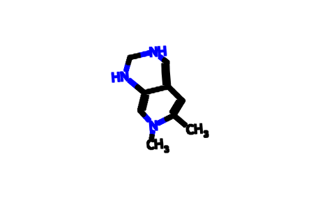 CC1=CC2=CNCNC2=CN1C